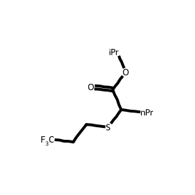 CCCC(SCCC(F)(F)F)C(=O)OC(C)C